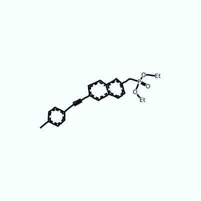 CCOP(=O)(Cc1ccc2cc(C#Cc3ccc(C)cc3)ccc2c1)OCC